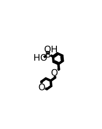 OB(O)c1cccc(COCC2CCOCC2)c1